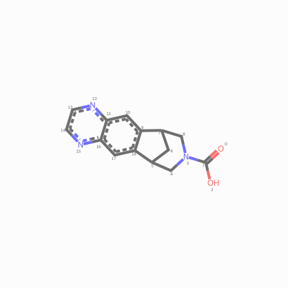 O=C(O)N1CC2CC(C1)c1cc3nccnc3cc12